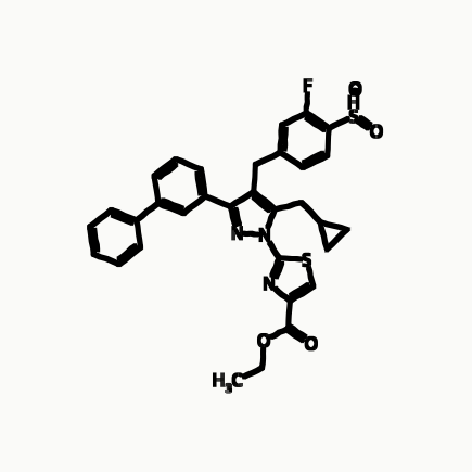 CCOC(=O)c1csc(-n2nc(-c3cccc(-c4ccccc4)c3)c(Cc3ccc([SH](=O)=O)c(F)c3)c2CC2CC2)n1